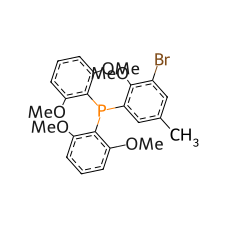 COc1cccc(OC)c1P(c1cc(C)cc(Br)c1OC)c1c(OC)cccc1OC